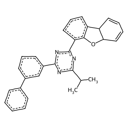 CC(C)c1nc(-c2cccc(-c3ccccc3)c2)nc(-c2cccc3c2OC2C=CC=CC32)n1